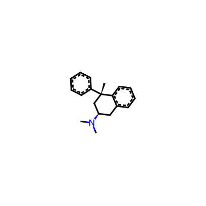 CN(C)[C@@H]1Cc2ccccc2[C@@](C)(c2ccccc2)C1